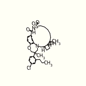 CCCc1cc(Cl)ccc1[C@]1(C)COc2ccc3cc2N(C[C@@H]2CC[C@H]2[C@](C)(O)CCCCCS(=O)(=O)NC3=O)C1